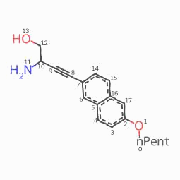 CCCCCOc1ccc2cc(C#CC(N)CO)ccc2c1